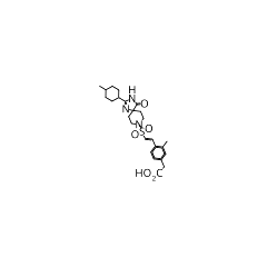 Cc1cc(CC(=O)O)ccc1/C=C/S(=O)(=O)N1CCC2(CC1)N=C(C1CCC(C)CC1)NC2=O